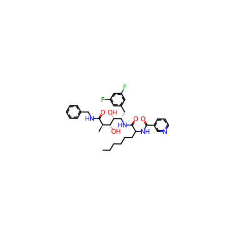 CCCCCCC(NC(=O)c1cccnc1)C(=O)N[C@@H](Cc1cc(F)cc(F)c1)[C@@H](O)[C@H](O)[C@@H](C)C(=O)NCc1ccccc1